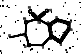 CC1OCc2ccccc2S(=O)(=O)O1